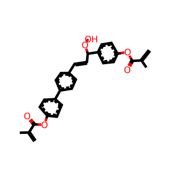 C=C(C)C(=O)Oc1ccc(-c2ccc(/C=C/C(OO)c3ccc(OC(=O)C(=C)C)cc3)cc2)cc1